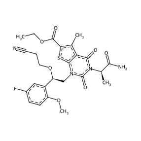 CCOC(=O)c1sc2c(c1C)c(=O)n([C@H](C)C(N)=O)c(=O)n2C[C@H](OCCC#N)c1cc(F)ccc1OC